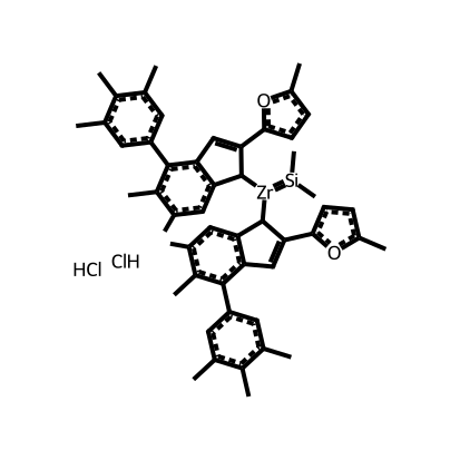 Cc1ccc(C2=Cc3c(cc(C)c(C)c3-c3cc(C)c(C)c(C)c3)[CH]2[Zr]([CH]2C(c3ccc(C)o3)=Cc3c2cc(C)c(C)c3-c2cc(C)c(C)c(C)c2)=[Si](C)C)o1.Cl.Cl